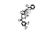 COc1ccc(C(=O)NC[C@H]2OC[C@@](O)(CNC(=O)c3ccccc3)[C@@H]2O)cc1OC